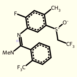 CN/C(=N/c1cc([S+]([O-])CC(F)(F)F)c(C)cc1F)c1ccccc1C(F)(F)F